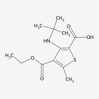 CCOC(=O)c1c(C)sc(C(=O)O)c1NC(C)(C)C